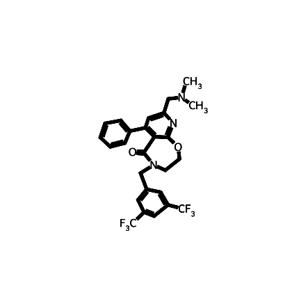 CN(C)Cc1cc(-c2ccccc2)c2c(n1)OCCN(Cc1cc(C(F)(F)F)cc(C(F)(F)F)c1)C2=O